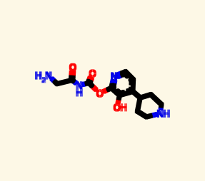 NCC(=O)NC(=O)Oc1nccc(C2CCNCC2)c1O